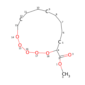 COC(=O)C1CCCCCCCCCOOOOO1